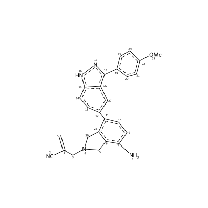 C=C(C#N)CN1Cc2c(N)ccc(-c3ccc4[nH]nc(-c5ccc(OC)cc5)c4c3)c2C1